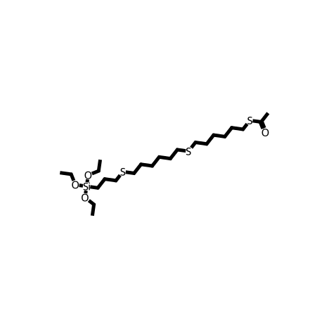 CCO[Si](CCCSCCCCCCSCCCCCCSC(C)=O)(OCC)OCC